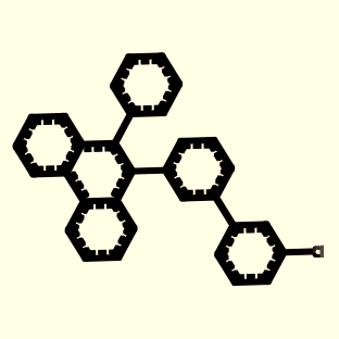 Clc1cccc(-c2cccc(-c3c(-c4ccccc4)c4ccccc4c4ccccc34)c2)c1